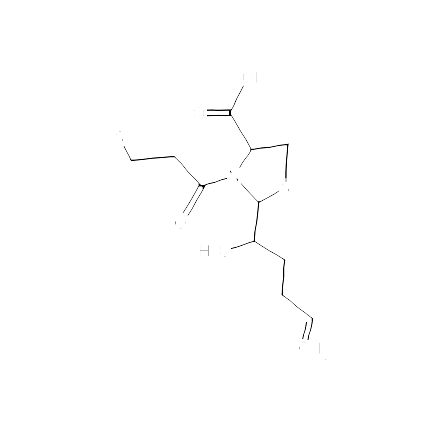 C=CCCC(C)C1SCC(C(=O)O)N1C(=O)CCS